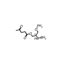 BB[C@H](COP)COC(=O)CCC(C)=O